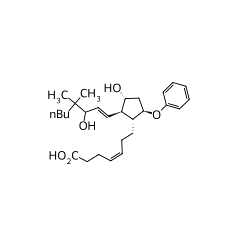 CCCCC(C)(C)C(O)/C=C/[C@@H]1[C@@H](CC/C=C\CCC(=O)O)[C@H](Oc2ccccc2)C[C@H]1O